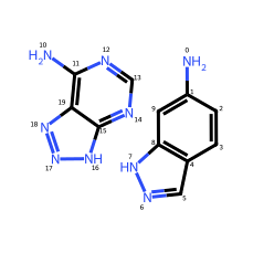 Nc1ccc2cn[nH]c2c1.Nc1ncnc2[nH]nnc12